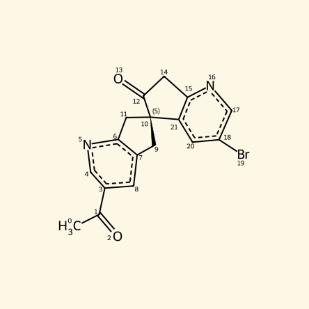 CC(=O)c1cnc2c(c1)C[C@@]1(C2)C(=O)Cc2ncc(Br)cc21